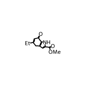 CCC1=CC(=O)c2[nH]c(C(=O)OC)cc2C1